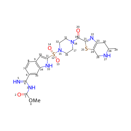 COC(=O)NC(=N)c1ccc2cc(S(=O)(=O)N3CCN(C(=O)c4nc5c(s4)CNC(C)C5)CC3)[nH]c2c1